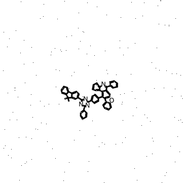 CC1(C)c2ccccc2-c2ccc(-c3nc(-c4ccccc4)nc(-c4ccc(-c5c6c(cc7c(-c8ccccc8)nc8ccccc8c57)oc5ccccc56)cc4)n3)cc21